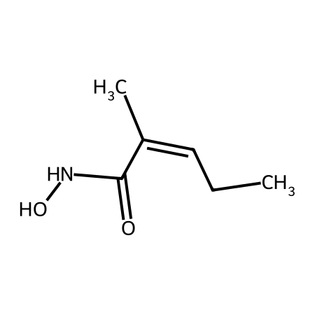 CCC=C(C)C(=O)NO